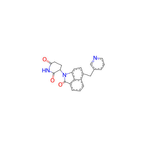 O=C1CCC(N2C(=O)c3cccc4c(Cc5cccnc5)ccc2c34)C(=O)N1